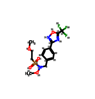 COCCS(=O)(=O)N(Cc1ccc(-c2noc(C(F)(F)F)n2)cc1)OC